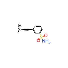 C[SiH](C)C#Cc1cccc(S(N)(=O)=O)c1